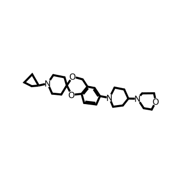 c1cc2c(cc1N1CCC(N3CCOCC3)CC1)COC1(CCN(C3CCC3)CC1)O2